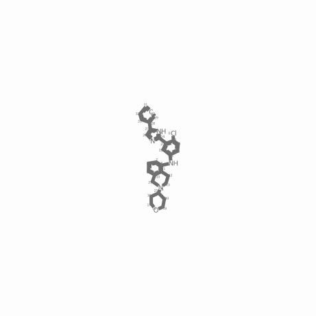 Clc1ccc(Nc2cccc3c2CCN(C2CCOCC2)C3)cc1-c1ncc(-c2ccccc2)[nH]1